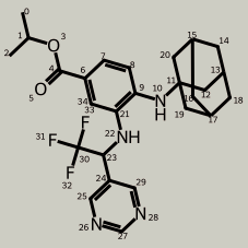 CC(C)OC(=O)c1ccc(NC23CC4CC(CC(C4)C2)C3)c(NC(c2cncnc2)C(F)(F)F)c1